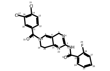 O=C(NC1=NCC2=CN(C(=O)c3ccc(Cl)c(Cl)c3)CCC2=N1)c1ccccc1F